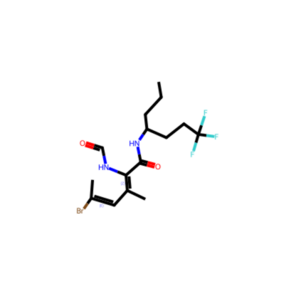 CCCC(CCC(F)(F)F)NC(=O)/C(NC=O)=C(C)/C=C(\C)Br